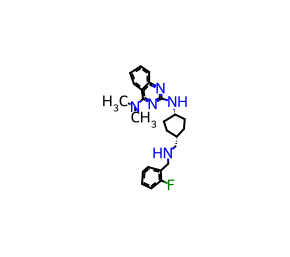 CN(C)c1nc(N[C@H]2CC[C@@H](CNCc3ccccc3F)CC2)nc2ccccc12